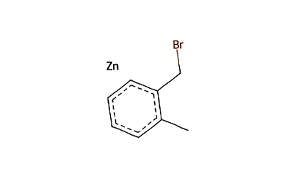 Cc1ccccc1CBr.[Zn]